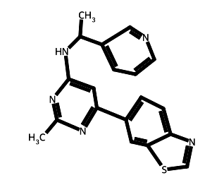 Cc1nc(NC(C)c2cccnc2)cc(-c2ccc3ncsc3c2)n1